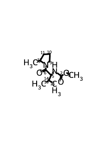 COC(=O)NC(C(=O)N1CCCC1C)C(C)C